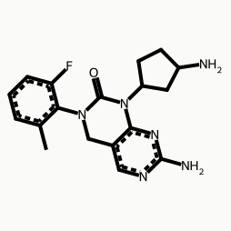 Cc1cccc(F)c1N1Cc2cnc(N)nc2N(C2CCC(N)C2)C1=O